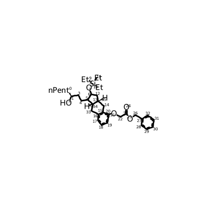 CCCCC[C@H](O)CCC1C(O[Si](CC)(CC)CC)C[C@@H]2Cc3c(cccc3OCC(=O)OCc3ccccc3)C[C@H]12